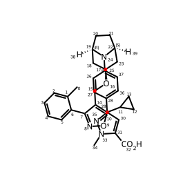 Cc1ccccc1-c1noc(C2CC2)c1CO[C@H]1C[C@H]2CC[C@@H](C1)N2c1ccc(-c2cc(C(=O)O)n(C)n2)cc1